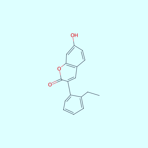 CCc1ccccc1-c1cc2ccc(O)cc2oc1=O